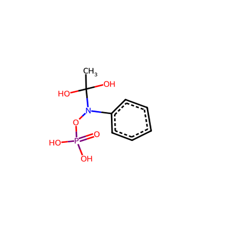 CC(O)(O)N(OP(=O)(O)O)c1ccccc1